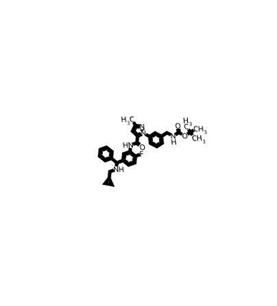 Cc1cc(C(=O)Nc2cc(C(NCC3CC3)c3ccccc3)ccc2F)n(-c2cccc(CNC(=O)OC(C)(C)C)c2)n1